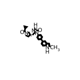 Cc1cc2cc(-c3ccc(-n4c(C[C@@H]5CCN(C(=O)C6CC6)C5)n[nH]c4=O)cc3)ccc2[nH]1